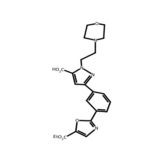 CCOC(=O)c1cnc(-c2cccc(-c3cc(C(=O)O)n(CCN4CCOCC4)n3)c2)o1